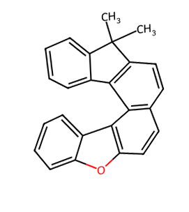 CC1(C)c2ccccc2-c2c1ccc1ccc3oc4ccccc4c3c21